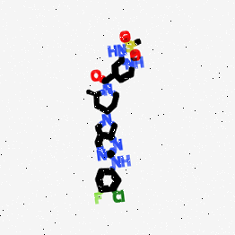 C/C=C\C(=C/C(=N)NS(C)(=O)=O)C(=O)N1CC[C@H](N2Cc3cnc(Nc4ccc(F)c(Cl)c4)nc3C2)C[C@H]1C